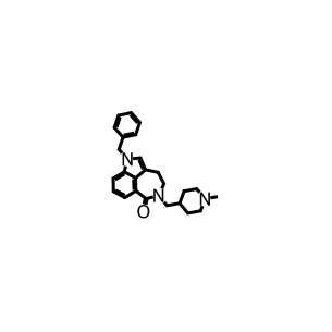 CN1CCC(CN2CCc3cn(Cc4ccccc4)c4cccc(c34)C2=O)CC1